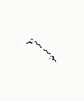 CCc1cn(CCCCOCCCCn2cc(CC)nn2)nn1